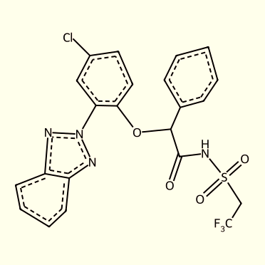 O=C(NS(=O)(=O)CC(F)(F)F)C(Oc1ccc(Cl)cc1-n1nc2ccccc2n1)c1ccccc1